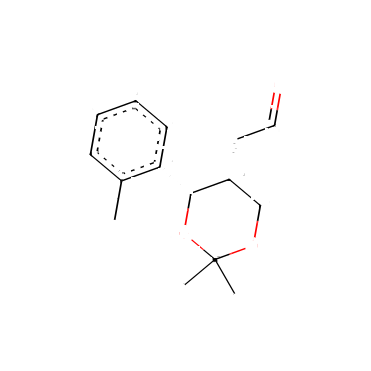 Cc1ccccc1[C@H]1OC(C)(C)OC[C@H]1CC=O